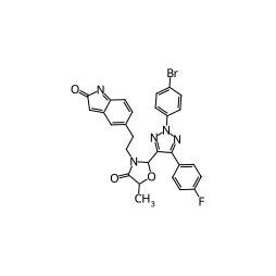 CC1OC(c2nn(-c3ccc(Br)cc3)nc2-c2ccc(F)cc2)N(CCc2ccc3c(c2)=CC(=O)N=3)C1=O